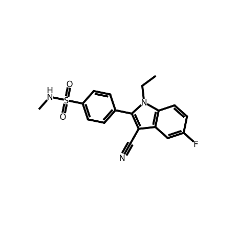 CCn1c(-c2ccc(S(=O)(=O)NC)cc2)c(C#N)c2cc(F)ccc21